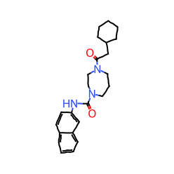 O=C(CC1CCCCC1)N1CCCN(C(=O)Nc2ccc3ccccc3c2)CC1